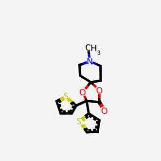 CN1CCC2(CC1)OC(=O)C(c1cccs1)(c1cccs1)O2